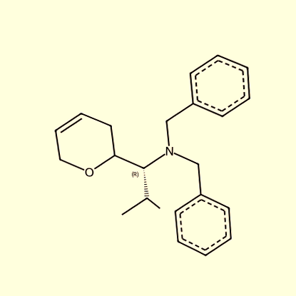 CC(C)[C@H](C1CC=CCO1)N(Cc1ccccc1)Cc1ccccc1